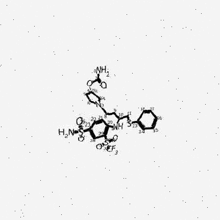 NC(=O)O[C@H]1CCN(CCC(CSc2ccccc2)Nc2ccc(S(N)(=O)=O)cc2S(=O)(=O)C(F)(F)F)C1